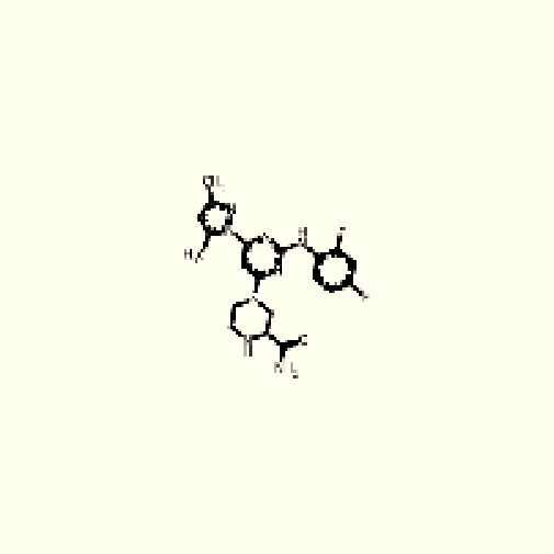 Cc1cc(C)n(-c2cc(N3CCNC(C(N)=O)C3)nc(Nc3ccc(F)cc3F)n2)n1